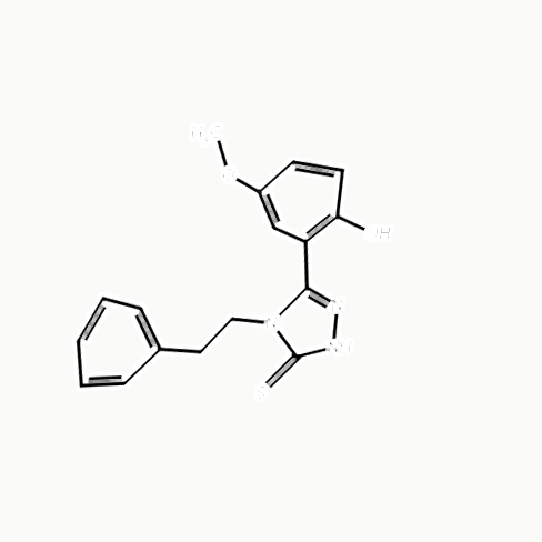 COc1ccc(O)c(-c2n[nH]c(=S)n2CCc2ccccc2)c1